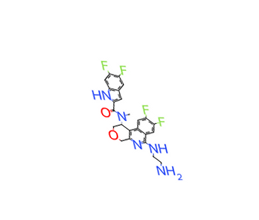 CN(C(=O)c1cc2cc(F)c(F)cc2[nH]1)[C@H]1COCc2nc(NCCN)c3cc(F)c(F)cc3c21